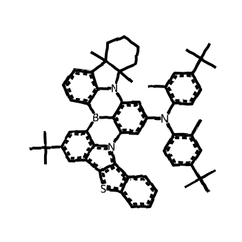 Cc1cc(C(C)(C)C)ccc1N(c1cc2c3c(c1)-n1c4c(cc(C(C)(C)C)cc4c4sc5ccccc5c41)B3c1cccc3c1N2C1(C)CCCCC31C)c1ccc(C(C)(C)C)cc1C